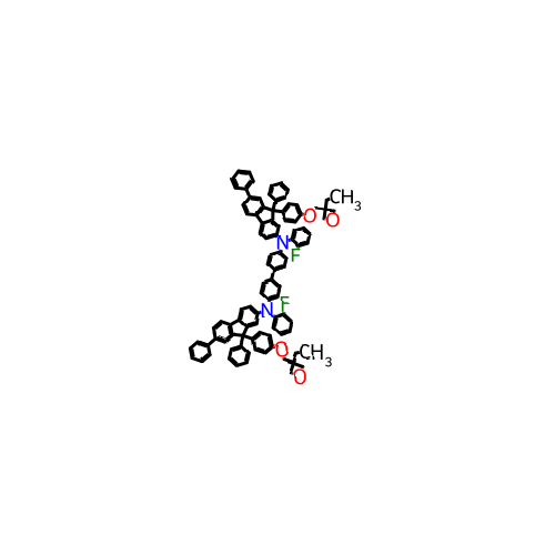 CCC1(COc2ccc(C3(c4ccccc4)c4cc(-c5ccccc5)ccc4-c4ccc(N(c5ccc(-c6ccc(N(c7ccc8c(c7)C(c7ccccc7)(c7ccc(OCC9(CC)COC9)cc7)c7cc(-c9ccccc9)ccc7-8)c7ccccc7F)cc6)cc5)c5ccccc5F)cc43)cc2)COC1